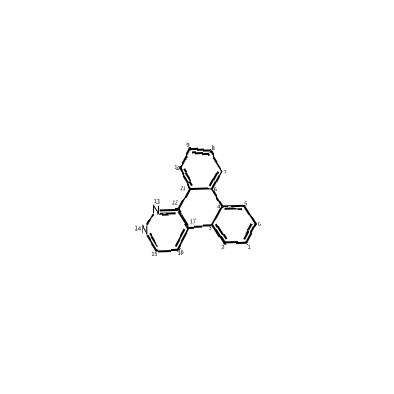 c1ccc2c(c1)c1ccccc1c1nnccc21